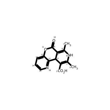 CC1=C(C(=O)O)C2C(=C(C)N1)C(=O)Oc1cccnc12